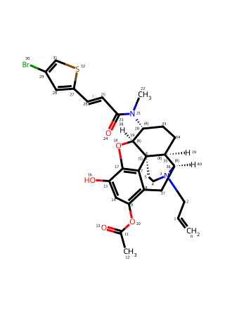 C=CCN1CC[C@]23c4c5c(OC(C)=O)cc(O)c4O[C@H]2[C@H](N(C)C(=O)/C=C/c2cc(Br)cs2)CC[C@H]3[C@H]1C5